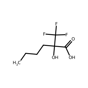 CCCCC(O)(C(=O)O)C(F)(F)F